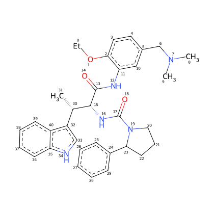 CCOc1ccc(CN(C)C)cc1NC(=O)[C@H](NC(=O)N1CCCC1c1ccccc1)[C@@H](C)c1c[nH]c2ccccc12